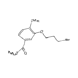 COC(=O)c1ccc(OC)c(OCCCBr)c1